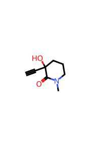 C#CC1(O)CCCN(C)C1=O